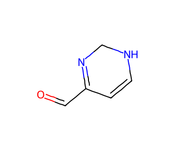 O=CC1=NCNC=C1